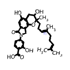 CC(C)=CCC/C(C)=C/CCC1(C)Oc2c(c(O)cc3c2CN(c2ccc(C(=O)O)c(O)c2)C3=O)CC1O